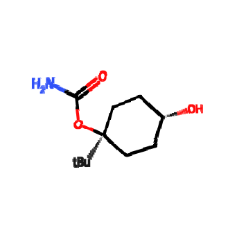 CC(C)(C)[C@]1(OC(N)=O)CC[C@H](O)CC1